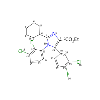 CCOC(=O)c1nc(C2CCCCC2)n(-c2cccc(Cl)c2F)c1-c1ccc(F)c(Cl)c1